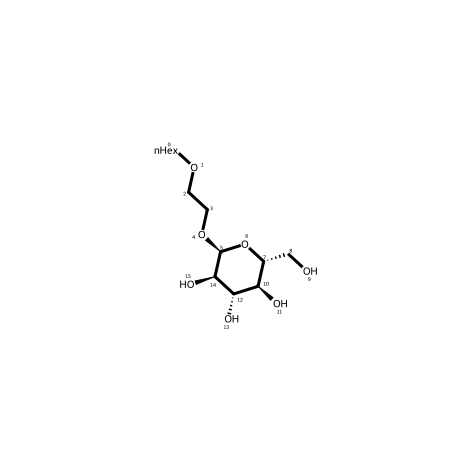 CCCCCCOCCO[C@H]1O[C@H](CO)[C@@H](O)[C@H](O)[C@H]1O